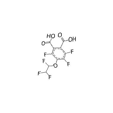 O=C(O)c1c(F)c(F)c(OC(F)C(F)F)c(F)c1C(=O)O